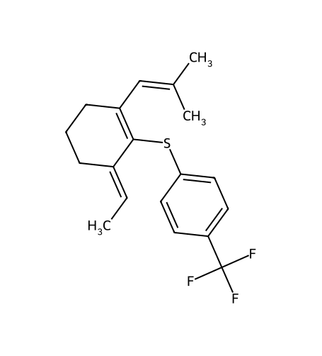 C/C=C1\CCCC(C=C(C)C)=C1Sc1ccc(C(F)(F)F)cc1